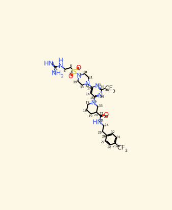 N=C(N)NCCS(=O)(=O)N1CCN(c2cc(N3CCCC(C(=O)NCCc4ccc(C(F)(F)F)cc4)C3)nc(C(F)(F)F)n2)CC1